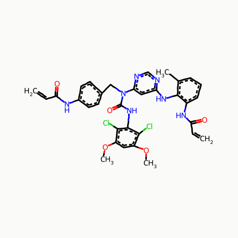 C=CC(=O)Nc1ccc(CN(C(=O)Nc2c(Cl)c(OC)cc(OC)c2Cl)c2cc(Nc3c(C)cccc3NC(=O)C=C)ncn2)cc1